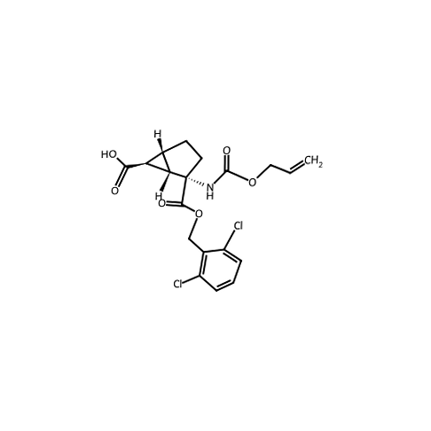 C=CCOC(=O)N[C@@]1(C(=O)OCc2c(Cl)cccc2Cl)CC[C@H]2[C@H](C(=O)O)[C@H]21